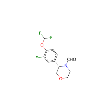 O=CN1CCOC[C@@H]1c1ccc(OC(F)F)c(F)c1